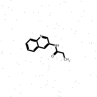 [CH2]CC(=O)Nc1cnc2ccccc2c1